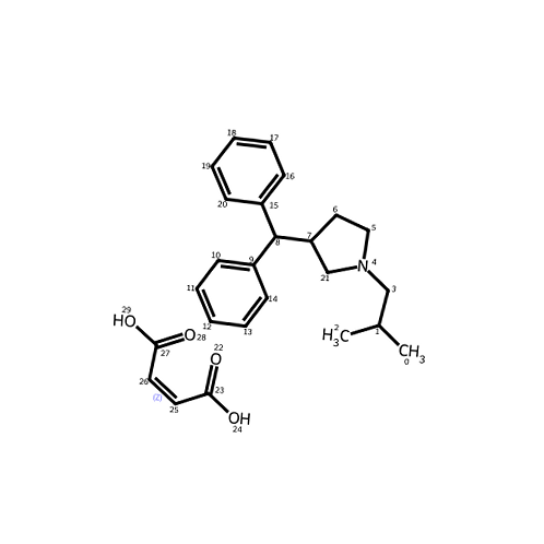 CC(C)CN1CCC(C(c2ccccc2)c2ccccc2)C1.O=C(O)/C=C\C(=O)O